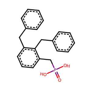 O=P(O)(O)Cc1cccc(Cc2ccccc2)c1Cc1ccccc1